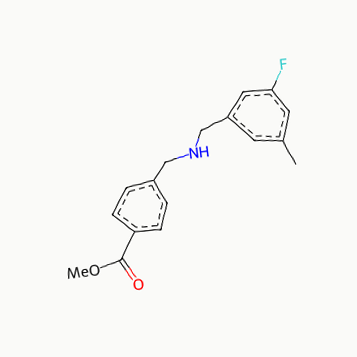 COC(=O)c1ccc(CNCc2cc(C)cc(F)c2)cc1